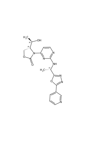 C[C@H](Nc1nccc(N2C(=O)OC[C@@H]2[C@@H](C)O)n1)c1nnc(-c2cccnc2)o1